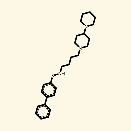 c1ccc(-c2ccc(SNCCCCN3CCC(N4CCCCC4)CC3)cc2)cc1